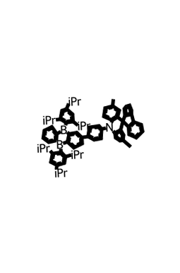 Cc1ccc2c(c1)C1(c3ccccc3-c3ccccc31)c1cc(C)ccc1N2c1ccc(-c2ccc3c(c2)B(c2c(C(C)C)cc(C(C)C)cc2C(C)C)c2ccccc2B3c2c(C(C)C)cc(C(C)C)cc2C(C)C)cc1